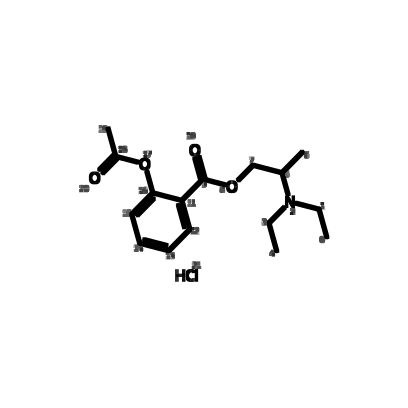 CCN(CC)C(C)COC(=O)c1ccccc1OC(C)=O.Cl